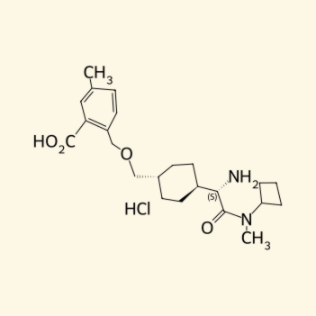 Cc1ccc(COC[C@H]2CC[C@H]([C@H](N)C(=O)N(C)C3CCC3)CC2)c(C(=O)O)c1.Cl